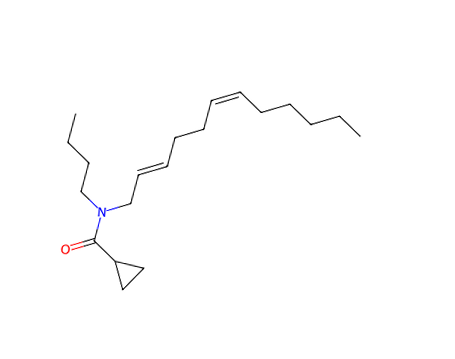 CCCCC/C=C\CC/C=C/CN(CCCC)C(=O)C1CC1